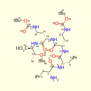 CC(C)C[C@@H](N)C(=O)N[C@@H](CC(C)C)C(=O)N[C@@H](CCNC(=O)OC(C)(C)C)C(=O)N[C@@H](CCNC(=O)OC(C)(C)C)C(=O)N[C@H](C(=O)O)[C@@H](C)OC(C)(C)C